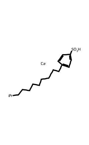 CC(C)CCCCCCCCCc1ccc(S(=O)(=O)O)cc1.[Ca]